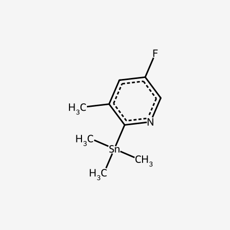 Cc1cc(F)cn[c]1[Sn]([CH3])([CH3])[CH3]